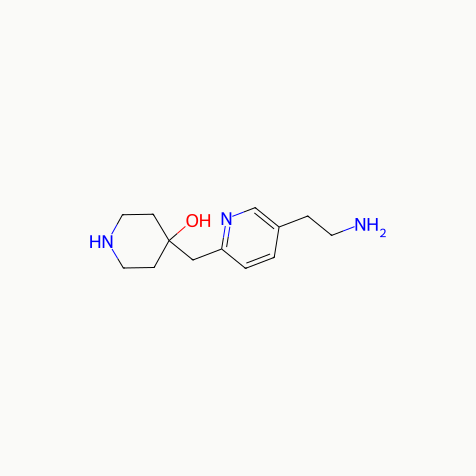 NCCc1ccc(CC2(O)CCNCC2)nc1